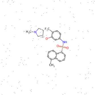 Cc1cccc2c(S(=O)(=O)Nc3ccc(C(F)(F)F)c(O[C@H]4CCN(C)C4)c3)cccc12